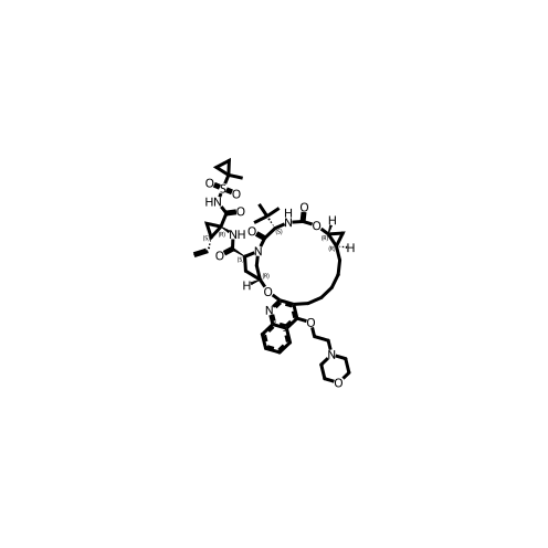 C=C[C@@H]1C[C@]1(NC(=O)[C@@H]1C[C@@H]2CN1C(=O)[C@H](C(C)(C)C)NC(=O)O[C@@H]1C[C@H]1CCCCCc1c(nc3ccccc3c1OCCN1CCOCC1)O2)C(=O)NS(=O)(=O)C1(C)CC1